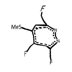 CSc1c(F)nnc(F)c1F